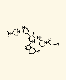 CN(C)C1CCN(c2cc(-c3nc(-c4cnc5ccc(F)cn45)nc(NC4CCCN(C(=O)CC#N)C4)c3F)ccn2)CC1